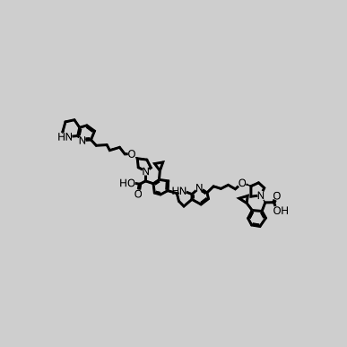 O=C(O)C(c1ccc(C2CCc3ccc(CCCCO[C@H]4CCN([C@H](C(=O)O)c5ccccc5C5CC5)C4)nc3N2)cc1C1CC1)N1CC[C@@H](OCCCCCc2ccc3c(n2)NCCC3)C1